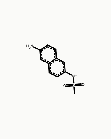 CS(=O)(=O)Nc1ccc2cc(N)ccc2c1